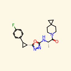 C[C@H](Nc1nnc([C@@H]2CC2c2ccc(F)cc2)o1)C(=O)N1CCC2(CC1)CC2